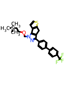 C[Si](C)(C)CCOCn1nc(-c2ccc(-c3ccc(C(F)(F)F)cc3)cc2)c2c1-c1ccsc1C2